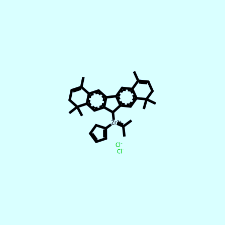 CC1=CCC(C)(C)c2cc3c(cc21)-c1cc2c(cc1[CH]3[Zr+2]([C]1=CC=CC1)=[C](C)C)C(C)(C)CC=C2C.[Cl-].[Cl-]